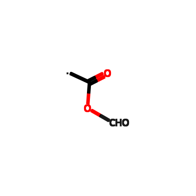 [CH2]C(=O)OC=O